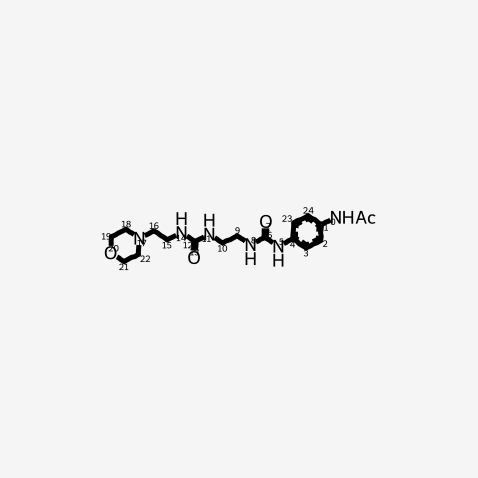 CC(=O)Nc1ccc(NC(=O)NCCNC(=O)NCCN2CCOCC2)cc1